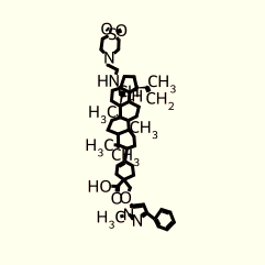 C#C[C@@]12CC[C@@]3(NCCN4CCS(=O)(=O)CC4)CC[C@@H](C(=C)C)C3[C@H]1CCC1[C@@]3(C)CCC(C4=CCC(COc5cc(-c6ccccc6)nn5C)(C(=O)O)CC4)C(C)(C)C3CC[C@]12C